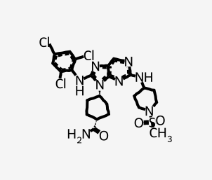 CS(=O)(=O)N1CCC(Nc2ncc3nc(Nc4c(Cl)cc(Cl)cc4Cl)n([C@H]4CC[C@@H](C(N)=O)CC4)c3n2)CC1